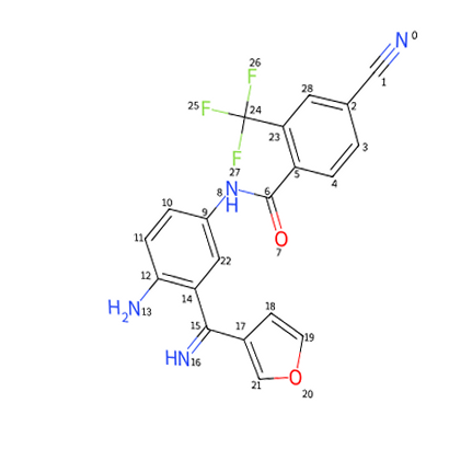 N#Cc1ccc(C(=O)Nc2ccc(N)c(C(=N)c3ccoc3)c2)c(C(F)(F)F)c1